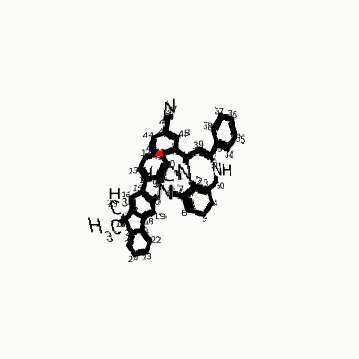 CN1c2c(cccc2-n2c3ccccc3c3cc4c(cc32)-c2ccccc2C4(C)C)CN/C(c2ccccc2)=C\C1c1cccc(C#N)c1